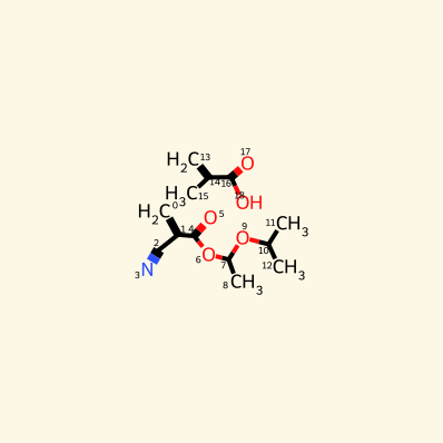 C=C(C#N)C(=O)OC(C)OC(C)C.C=C(C)C(=O)O